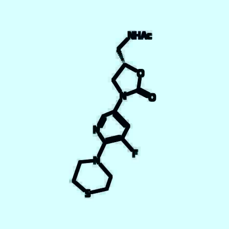 CC(=O)NC[C@H]1CN(c2cnc(N3CCSCC3)c(F)c2)C(=O)O1